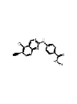 C#Cc1ccc2nc(Nc3ccc(C(=O)NCC)cc3)ncc2c1Cl